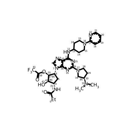 CCC(=O)N[C@H]1C[C@@H](n2cnc3c(NC4CCN(c5ccccn5)CC4)nc(N4CC[C@@H](N(C)C)C4)nc32)[C@H](OC(=O)C(F)(F)F)[C@@H]1O